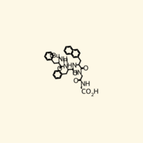 CC(C)(C)NC(Cc1ccccc1)C(=O)NC(Cc1ccccc1)C(=O)NC(Cc1ccc2ccccc2c1)C(=O)NCC(=O)NCC(=O)O